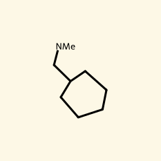 [C]NCC1CCCCC1